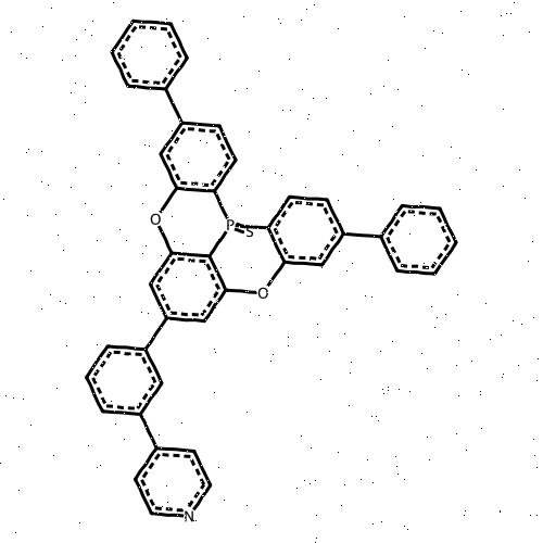 S=P12c3ccc(-c4ccccc4)cc3Oc3cc(-c4cccc(-c5ccncc5)c4)cc(c31)Oc1cc(-c3ccccc3)ccc12